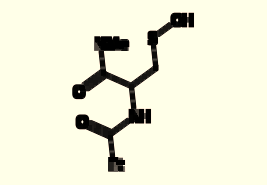 CCC(=O)NC(CSO)C(=O)NC